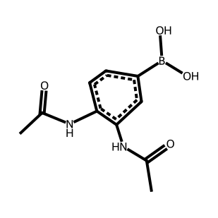 CC(=O)Nc1ccc(B(O)O)cc1NC(C)=O